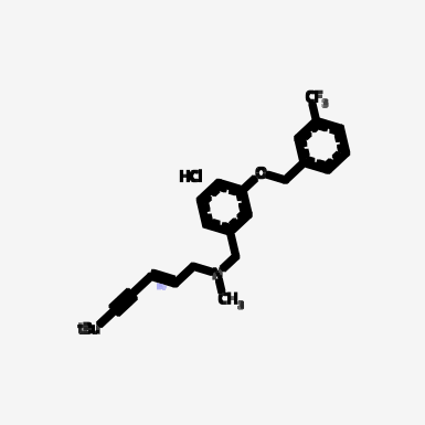 CN(C/C=C/C#CC(C)(C)C)Cc1cccc(OCc2cccc(C(F)(F)F)c2)c1.Cl